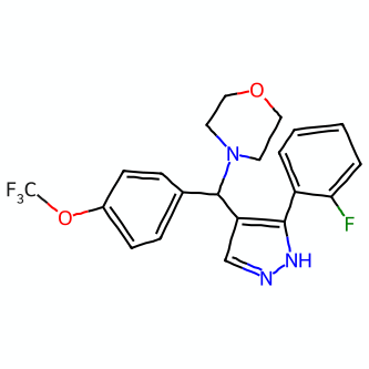 Fc1ccccc1-c1[nH]ncc1C(c1ccc(OC(F)(F)F)cc1)N1CCOCC1